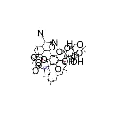 COC(=O)/C(C)=C\CC12OC(C)(C)C3CC(C1=O)C(C(C#N)C#N)C1C(=O)c4c(O[C@@H]5O[C@@H]6COC(C)(C)O[C@H]6[C@H](O)[C@H]5O)c5c(c(CC=C(C)C)c4OC132)OC(C)(CCC=C(C)C)C=C5